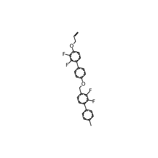 C=CCOc1ccc(-c2ccc(OCc3ccc(-c4ccc(C)cc4)c(F)c3F)cc2)c(F)c1F